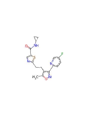 Cc1onc(-c2ccc(F)cn2)c1CCc1ncc(C(=O)NC2CC2)s1